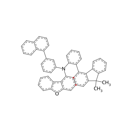 CC1(C)c2ccccc2-c2c(-c3ccccc3N(c3cccc(-c4cccc5ccccc45)c3)c3cccc4oc5ccccc5c34)cccc21